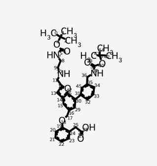 CC(C)(C)OC(=O)NCCNCc1cc2cc(COc3ccccc3CC(=O)O)cc(-c3cccc(CNC(=O)OC(C)(C)C)c3)c2o1